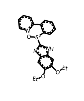 CCOc1cc2nc([S+]([O-])c3ccccc3-c3ccccn3)[nH]c2cc1OCC